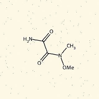 CON(C)C(=O)C(N)=O